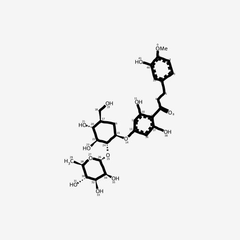 COc1ccc(CCC(=O)c2c(O)cc(O[C@@H]3C[C@H](CO)[C@@H](O)[C@H](O)[C@H]3O[C@H]3O[C@H](C)[C@@H](O)[C@H](O)[C@@H]3O)cc2O)cc1O